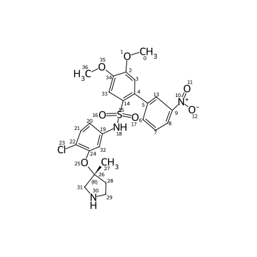 COc1cc(-c2cccc([N+](=O)[O-])c2)c(S(=O)(=O)Nc2ccc(Cl)c(O[C@]3(C)CCNC3)c2)cc1OC